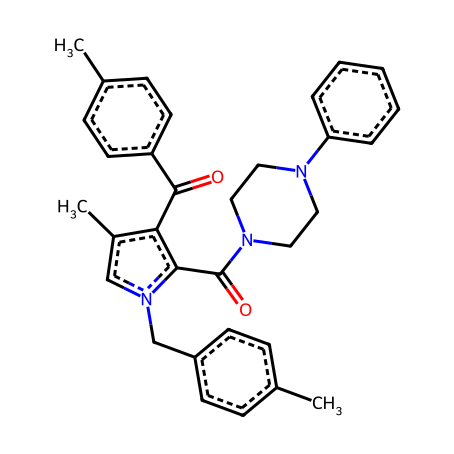 Cc1ccc(Cn2cc(C)c(C(=O)c3ccc(C)cc3)c2C(=O)N2CCN(c3ccccc3)CC2)cc1